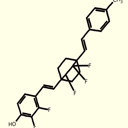 Cc1ccc(/C=C/C23CCC(/C=C/c4ccc(O)c(F)c4F)(CC2)C(F)C3(F)F)cc1